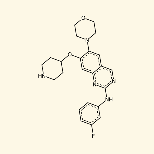 Fc1cccc(Nc2ncc3cc(N4CCOCC4)c(OC4CCNCC4)cc3n2)c1